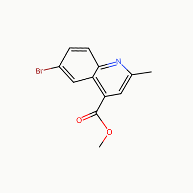 COC(=O)c1cc(C)nc2ccc(Br)cc12